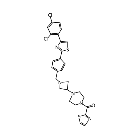 O=C(c1nccs1)N1CCN(C2CN(Cc3ccc(-c4nc(-c5ccc(Cl)cc5Cl)cs4)cc3)C2)CC1